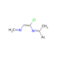 C=N/C=C(Cl)\N=C(/C)C(C)=O